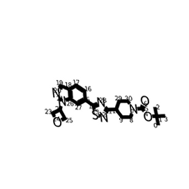 CC(C)(C)OC(=O)N1CCC(c2nsc(-c3ccc4cnn(C5COC5)c4c3)n2)CC1